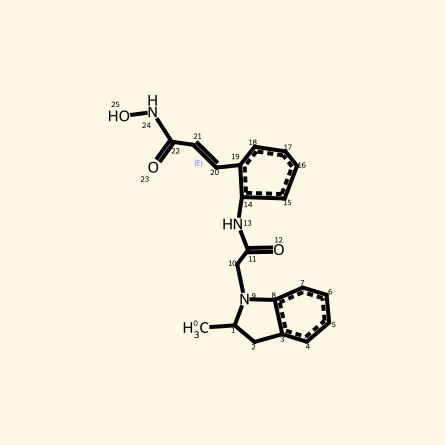 CC1Cc2ccccc2N1CC(=O)Nc1ccccc1/C=C/C(=O)NO